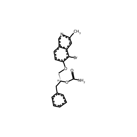 Cc1cc2c(Br)c(OC[C@@H](Cc3ccccc3)OC(N)=O)ccc2cn1